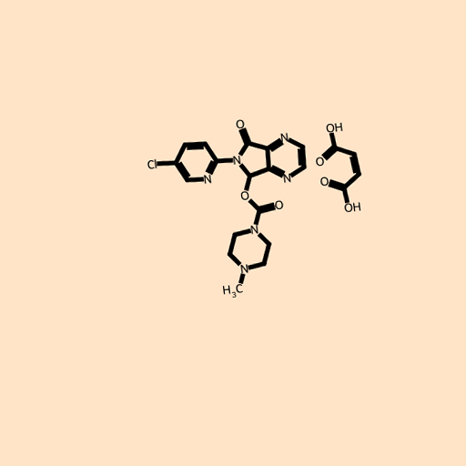 CN1CCN(C(=O)OC2c3nccnc3C(=O)N2c2ccc(Cl)cn2)CC1.O=C(O)/C=C\C(=O)O